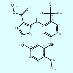 COC(=O)c1ncsc1Nc1cc(Nc2cc(C)ccc2OC)ncc1C(F)(F)F